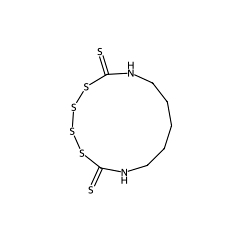 S=C1NCCCCCNC(=S)SSSS1